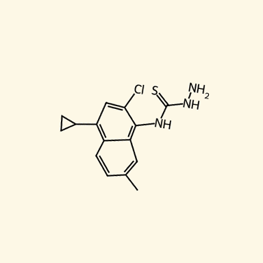 Cc1ccc2c(C3CC3)cc(Cl)c(NC(=S)NN)c2c1